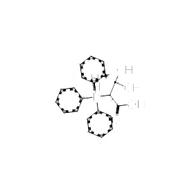 CC(C)(C)C(C(=O)O)[PH](c1ccccc1)(c1ccccc1)c1ccccc1